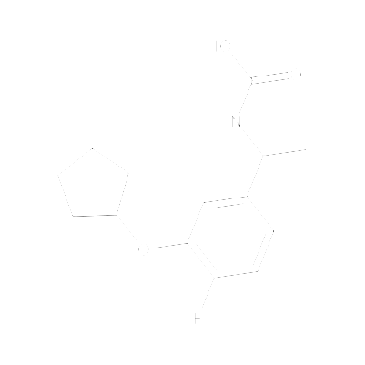 CC(NC(=O)O)c1ccc(F)c(OC2CCCC2)c1